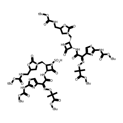 CC(C)(C)OC(=O)NCC1CN(C[C@@H]2[C@H](NC(=O)/C(=N\OC(C)(C)C(=O)OC(C)(C)C)c3csc(NC(=O)OC(C)(C)C)n3)C(=O)N2S(=O)(=O)O)C(=O)O1.CC(C)(C)OC(=O)NCC1CN(C[C@H]2NC(=O)[C@H]2NC(=O)/C(=N\OC(C)(C)C(=O)OC(C)(C)C)c2csc(NC(=O)OC(C)(C)C)n2)C(=O)O1